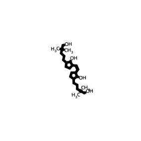 CC(C)(CO)CCCC1CCC(/C=C\C2CCC(CCCC(C)(C)CO)C2O)C1O